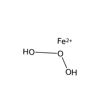 OOO.[Fe+2]